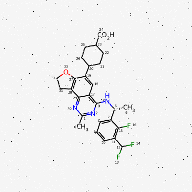 Cc1nc(N[C@H](C)c2cccc(C(F)F)c2F)c2cc(C3CCC(C(=O)O)CC3)c3c(c2n1)CCO3